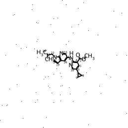 COC(=O)c1cc(C2CC2)cnc1Nc1cnc2c(ccn2CC(C)C)c1